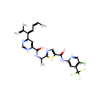 C=C(C)/C(=C\C=C/C)c1cc(C(=O)NC(C)c2ncc(C(=O)Nc3cc(C(F)(F)F)c(Cl)cn3)s2)ncn1